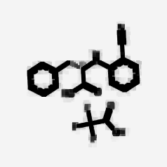 N#Cc1ccccc1N[C@@H](Cc1ccccc1)C(=O)O.O=C(O)C(F)(F)F